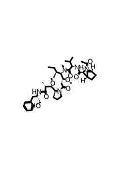 CC[C@H](C)[C@@H]([C@@H](CC(=O)N1CCC[C@H]1[C@H](OC)[C@@H](C)C(=O)N[C@H](CO)Cc1ccccc1)OC)N(C)C(=O)[C@@H](NC(=O)[C@@H]1[C@H]2CC[C@H](C2)N1C(C)=O)C(C)C